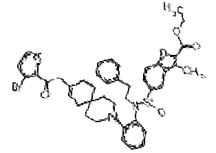 CCOC(=O)c1oc2ccc([S+]([O-])N(CCc3ccccc3)c3ccccc3N3CCC4(CC=C(CC(=O)c5sccc5Br)CC4)CC3)cc2c1C